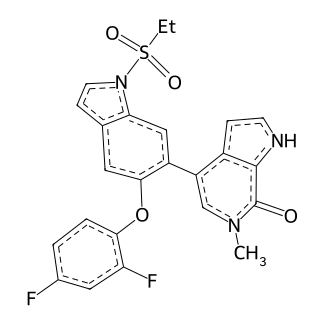 CCS(=O)(=O)n1ccc2cc(Oc3ccc(F)cc3F)c(-c3cn(C)c(=O)c4[nH]ccc34)cc21